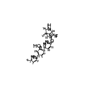 Cc1ccn(-c2ccc(-c3ccc(OC4CC5(C)CNC(C4F)C5C)nn3)c(O)c2)n1